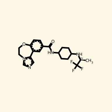 C[C@H](NC1CCC(NC(=O)c2ccc3c(c2)-c2cncn2CCO3)CC1)C(F)(F)F